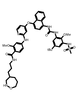 COc1cc(Nc2cc(Oc3ccc(NC(=O)Nc4cc(C(C)(C)C)cc(NS(C)(=O)=O)c4OC)c4ccccc34)ccn2)ccc1C(=O)NCCCC1CCCONC1